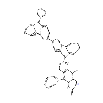 C=C/C=C\c1c(C)c2nc(-n3c4ccccc4c4cc(-c5ccc6c(c5)c5ccccc5n6-c5ccccc5)ccc43)ncc2n(-c2ccccc2)c1=O